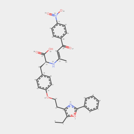 CCc1oc(-c2ccccc2)nc1CCOc1ccc(C[C@H](NC(C)=CC(=O)c2ccc([N+](=O)[O-])cc2)C(=O)O)cc1